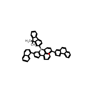 CC1(C)c2ccccc2-c2ccc(N(c3ccc(-c4ccc5c(ccc6ccccc65)c4)cc3)c3cc(-c4cccc5ccccc45)ccc3-c3ccccc3)cc21